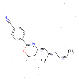 C\C=C/C=C(C)/C=C1\CCOC(c2ccc(C#N)cc2)=N1